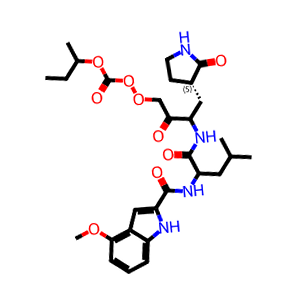 CCC(C)OC(=O)OOCC(=O)C(C[C@@H]1CCNC1=O)NC(=O)C(CC(C)C)NC(=O)c1cc2c(OC)cccc2[nH]1